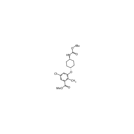 COC(=O)c1cc(Cl)cc(O[C@H]2CC[C@H](NC(=O)OC(C)(C)C)CC2)c1C